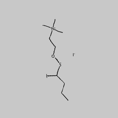 CCCC(I)SOCC[N+](C)(C)C.[I-]